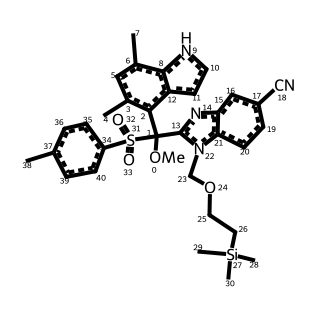 COC(c1c(C)cc(C)c2[nH]ccc12)(c1nc2cc(C#N)ccc2n1COCC[Si](C)(C)C)S(=O)(=O)c1ccc(C)cc1